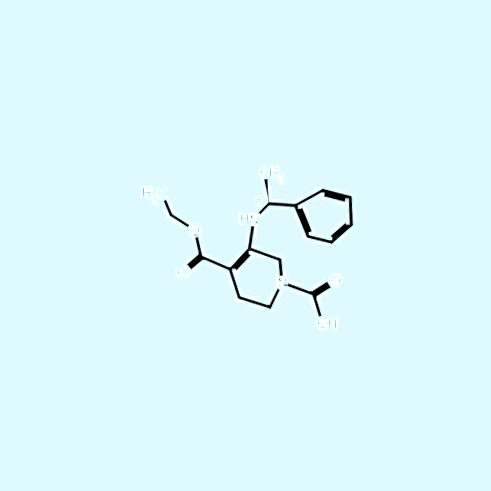 CCOC(=O)C1=C(N[C@@H](C)c2ccccc2)CN(C(=O)O)CC1